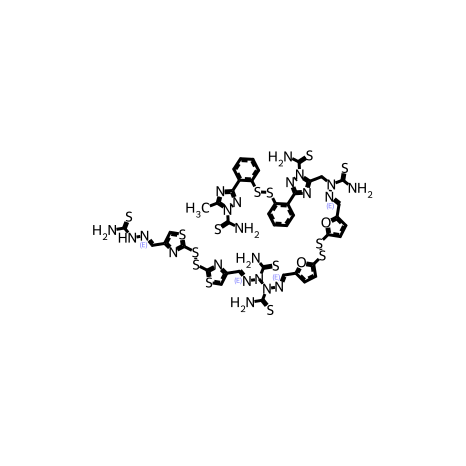 Cc1nc(-c2ccccc2SSc2ccccc2-c2nc(CN(/N=C/c3ccc(SSc4ccc(/C=N/N(C(N)=S)N(/N=C/c5csc(SSc6nc(/C=N/NC(N)=S)cs6)n5)C(N)=S)o4)o3)C(N)=S)n(C(N)=S)n2)nn1C(N)=S